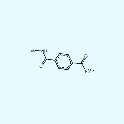 CCNC(=O)c1ccc(C(=O)NC)cc1